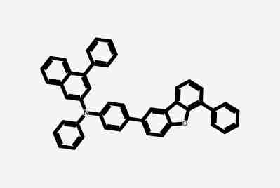 c1ccc(-c2cc(N(c3ccccc3)c3ccc(-c4ccc5oc6c(-c7ccccc7)cccc6c5c4)cc3)cc3ccccc23)cc1